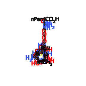 CCCCCC(CC(=O)O)C(=O)NC/C(N)=C/NCCOCCOCCOCCOCCOCCSCc1c(O)ccc2c3c([nH]c12)[S+]([O-])C[C@H]1NC(=O)CNC(=O)[C@H]([C@@H](C)CC)NC(=O)CCNC(=O)[C@H](C3)NC(=O)[C@H]([C@@H](C)[C@@H](O)CO)NC(=O)[C@@H]2C[C@@H](O)CN2C(=O)[C@H](CC(N)=O)NC1=O